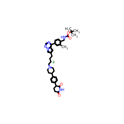 Cc1cc(-c2ncnn3cc(CC[C@H](F)CN4CCC(c5ccc(C6CCC(=O)NC6=O)cc5)CC4)cc23)ccc1CNC(=O)OC(C)(C)C